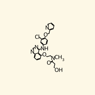 CN(CCOc1cccc2ncnc(Nc3ccc(OCc4ccccn4)c(Cl)c3)c12)C(=O)CCO